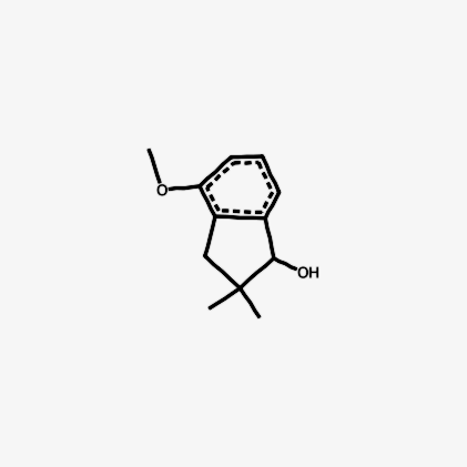 COc1cccc2c1CC(C)(C)C2O